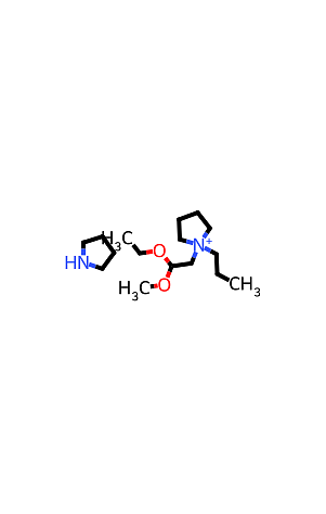 C1CCNC1.CCC[N+]1(CC(OC)OCC)CCCC1